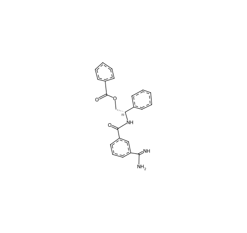 N=C(N)c1cccc(C(=O)N[C@H](COC(=O)c2ccccc2)c2ccccc2)c1